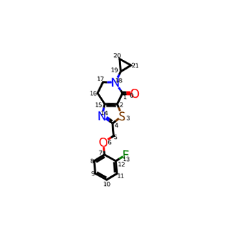 O=C1c2sc(COc3ccccc3F)nc2CCN1C1CC1